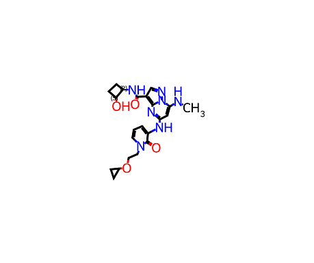 CNc1cc(Nc2cccn(CCOC3CC3)c2=O)nc2c(C(=O)N[C@@H]3CC[C@@H]3O)cnn12